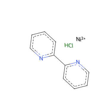 Cl.[Ni+2].c1ccc(-c2ccccn2)nc1